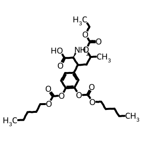 CCCCCOC(=O)Oc1ccc(C(CC(C)OC(=O)OCC)[C@H](N)C(=O)O)cc1OC(=O)OCCCCC